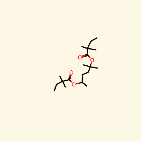 CCC(C)(C)C(=O)OC(C)CCC(C)(C)OC(=O)C(C)(C)CC